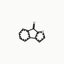 O=C1c2ccccc2-c2ccoc21